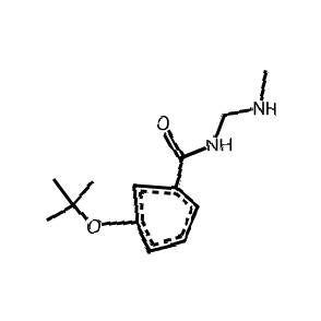 CNCNC(=O)c1cccc(OC(C)(C)C)c1